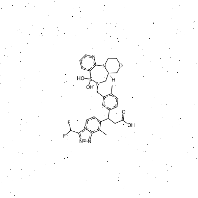 Cc1ccc(C(CC(=O)O)c2ccn3c(C(F)F)nnc3c2C)cc1CN1C[C@@H]2COCCN2c2ncccc2S1(O)O